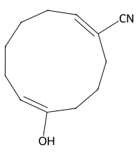 N#C/C1=C/CCCC/C=C(/O)CCC1